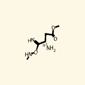 CNOC(=N)[C@@H](N)CC(=O)OC